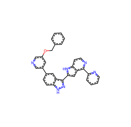 c1ccc(COc2cncc(-c3ccc4[nH]nc(-c5cc6c(-c7ccccn7)nccc6[nH]5)c4c3)c2)cc1